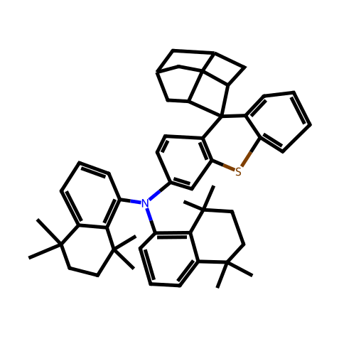 CC1(C)CCC(C)(C)c2c(N(c3ccc4c(c3)Sc3ccccc3C43C4CC5CC6CC3C64C5)c3cccc4c3C(C)(C)CCC4(C)C)cccc21